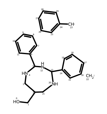 OCC1CNC(c2ccccc2)NC(c2ccccc2)NC1.[CH2].[CH]c1ccccc1